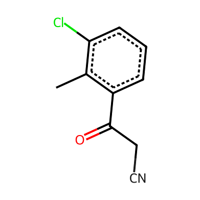 Cc1c(Cl)cccc1C(=O)CC#N